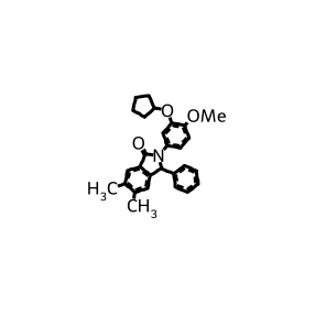 COc1ccc(N2C(=O)c3cc(C)c(C)cc3C2c2ccccc2)cc1OC1CCCC1